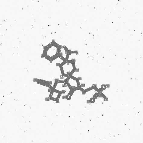 CN(C)C1(c2ccccc2)CCC2(CC1)CN(CCS(C)(=O)=O)C(=O)N2CC1(C#N)CCC1